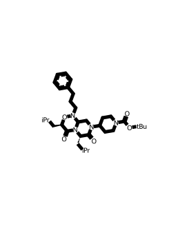 CC(C)C[C@H]1ON(CCCc2ccccc2)C2CN(C3CCN(C(=O)OC(C)(C)C)CC3)C(=O)[C@H](CC(C)C)N2C1=O